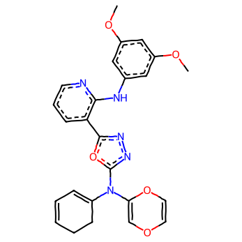 COc1cc(Nc2ncccc2-c2nnc(N(C3=CC=CCC3)C3=COC=CO3)o2)cc(OC)c1